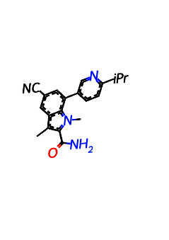 Cc1c(C(N)=O)n(C)c2c(-c3ccc(C(C)C)nc3)cc(C#N)cc12